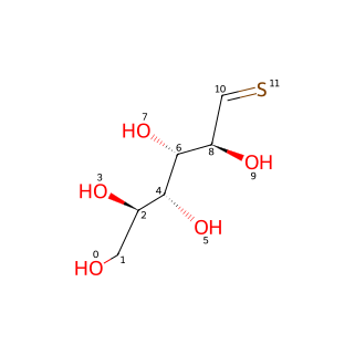 OC[C@@H](O)[C@@H](O)[C@H](O)[C@H](O)C=S